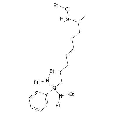 CCO[SiH2]C(C)CCCCCCC[Si](c1ccccc1)(N(CC)CC)N(CC)CC